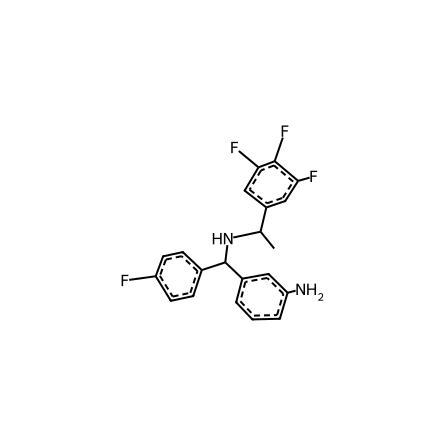 CC(NC(c1ccc(F)cc1)c1cccc(N)c1)c1cc(F)c(F)c(F)c1